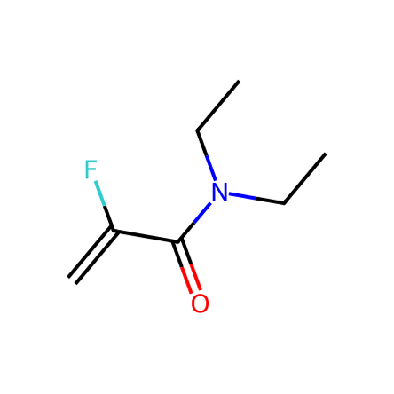 C=C(F)C(=O)N(CC)CC